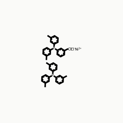 Cc1cccc(P(c2cccc(C)c2)c2cccc(C)c2)c1.Cc1cccc(P(c2cccc(C)c2)c2cccc(C)c2)c1.[Cl-].[Cl-].[Ni+2]